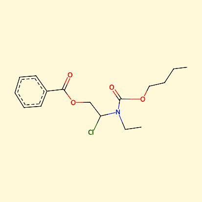 CCCCOC(=O)N(CC)C(Cl)COC(=O)c1ccccc1